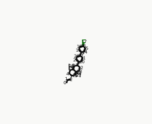 CC=C[C@@H]1CC[C@@H]2CC(c3ccc(-c4ccc(F)cc4)cc3)CC[C@@H]2C1